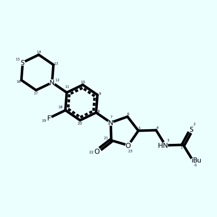 CCC(C)C(=S)NCC1CN(c2ccc(N3CCSCC3)c(F)c2)C(=O)O1